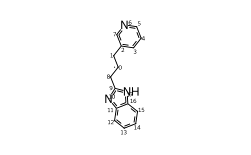 [CH](Cc1cccnc1)Cc1nc2ccccc2[nH]1